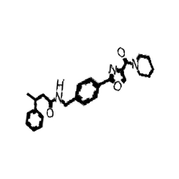 CC(CC(=O)NCc1ccc(-c2nc(C(=O)N3CCCCC3)co2)cc1)c1ccccc1